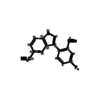 COc1cc(F)ccc1-c1csc2ccc(C(=O)O)cc12